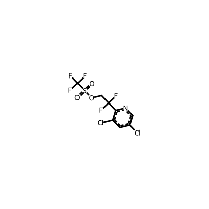 O=S(=O)(OCC(F)(F)c1ncc(Cl)cc1Cl)C(F)(F)F